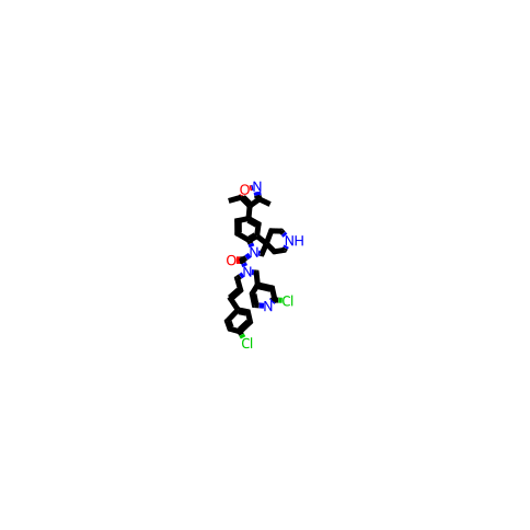 Cc1noc(C)c1-c1ccc2c(c1)C1(CCNCC1)CN2C(=O)N(CC=Cc1ccc(Cl)cc1)Cc1ccnc(Cl)c1